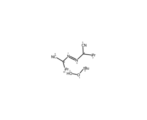 CC(C)(C)OO.CC(C)C(C#N)N=NC(C#N)C(C)C